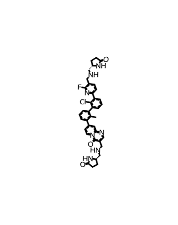 Cc1c(-c2ccn3c(=O)c(CNC[C@H]4CCC(=O)N4)cnc3c2)cccc1-c1cccc(-c2ccc(CNC[C@@H]3CCC(=O)N3)c(F)n2)c1Cl